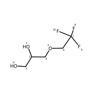 OCC(O)COCC(F)(F)F